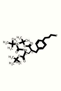 CC(C)(C)OC(=O)N[C@@H](C[C@H](Cc1ccc(CCCF)cc1)C(=O)OC(C)(C)C)C(=O)OC(C)(C)C